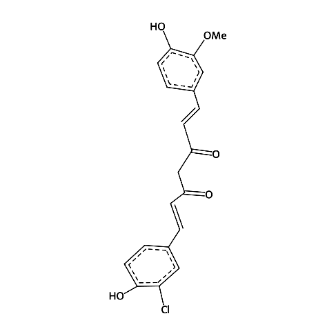 COc1cc(C=CC(=O)CC(=O)C=Cc2ccc(O)c(Cl)c2)ccc1O